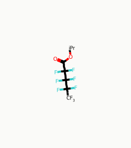 CC(C)OC(=O)C(F)(F)C(F)(F)C(F)(F)C(F)(F)F